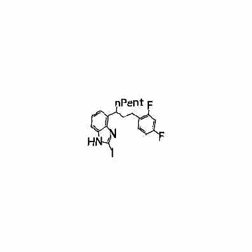 CCCCCC(CCc1ccc(F)cc1F)c1cccc2[nH]c(I)nc12